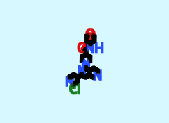 O=C(NC1CCOCC1)C1CCN(c2nc(-c3ccnc(Cl)c3)cc3cnccc23)CC1